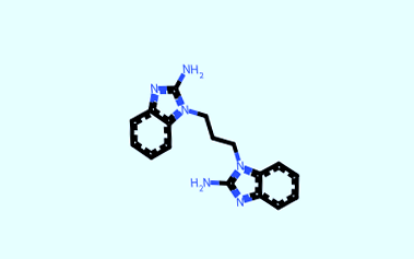 Nc1nc2ccccc2n1CCCn1c(N)nc2ccccc21